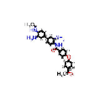 CCNc1ccc(-c2ccc(NC(=O)c3ccc(Oc4ccc(C(C)=O)cc4)cc3)c(N)c2)cc1N